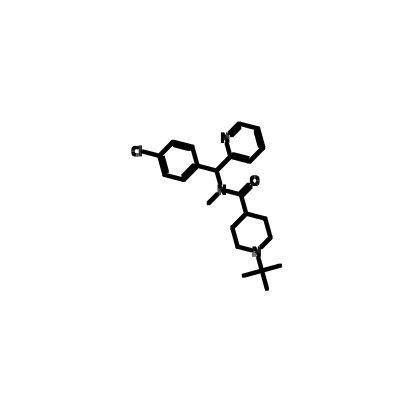 CN(C(=O)C1CCN(C(C)(C)C)CC1)C(c1ccc(Cl)cc1)c1ccccn1